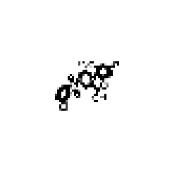 Cc1cc(F)ccc1N1CCN(S(=O)(=O)c2cccc(Cl)c2)CC1C(=O)O